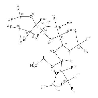 CCOC1(C(F)(OC(F)F)C(F)(F)F)CC(C(F)(F)F)C(C(F)(OC(F)(F)C2(F)OC(F)(F)C(F)(F)C2(F)F)C(F)(F)F)O1